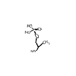 CCCC(C)COP(=O)(O)O